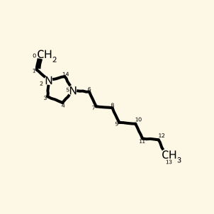 C=CN1CCN(CCCCCCCC)C1